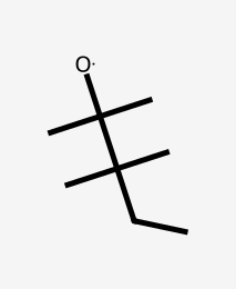 CCC(C)(C)C(C)(C)[O]